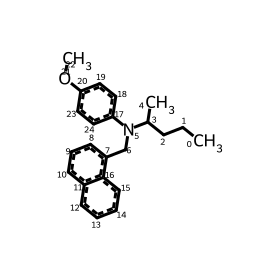 CCCC(C)N(Cc1cccc2ccccc12)c1ccc(OC)cc1